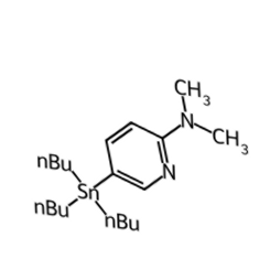 CCC[CH2][Sn]([CH2]CCC)([CH2]CCC)[c]1ccc(N(C)C)nc1